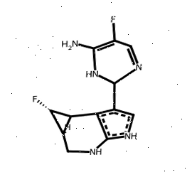 NC1=C(F)C=NC(c2c[nH]c3c2C2[C@@H](F)[C@H]2CN3)N1